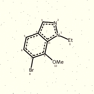 CCn1ncc2ccc(Br)c(OC)c21